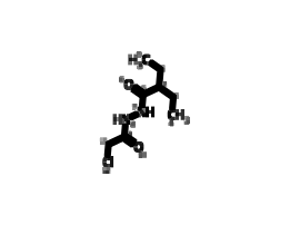 CCC(CC)C(=O)NNC(=O)CCl